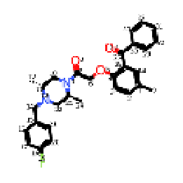 Cc1ccc(OCC(=O)N2C[C@@H](C)N(Cc3ccc(F)cc3)C[C@@H]2C)c(C(=O)c2ccccc2)c1